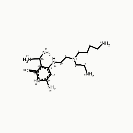 NCCCCN(CCN)CCNc1cc(N)[nH]c(=O)c1C(N)N